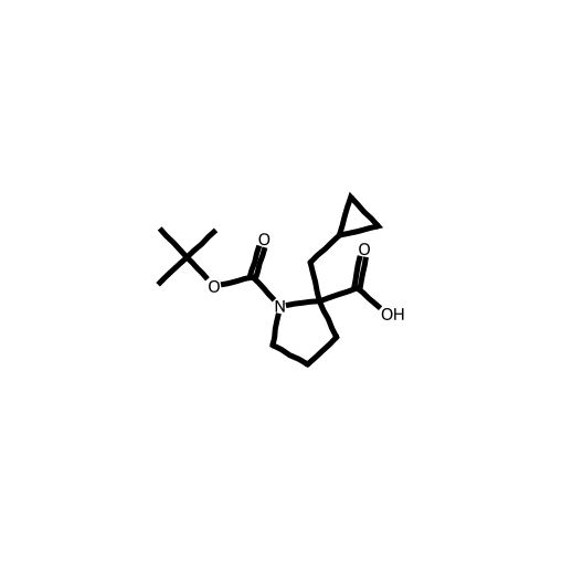 CC(C)(C)OC(=O)N1CCCC1(CC1CC1)C(=O)O